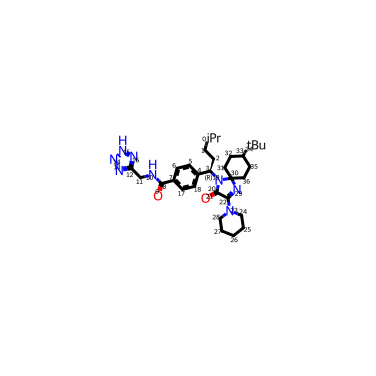 CC(C)CC[C@H](c1ccc(C(=O)NCc2nn[nH]n2)cc1)N1C(=O)C(N2CCCCC2)=NC12CCC(C(C)(C)C)CC2